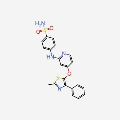 Cc1nc(-c2ccccc2)c(Oc2ccnc(Nc3ccc(S(N)(=O)=O)cc3)c2)s1